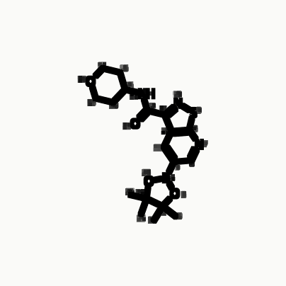 CC1(C)OB(c2cnc3snc(C(=O)NC4CCOCC4)c3c2)OC1(C)C